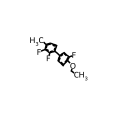 CCOc1ccc(-c2ccc(C)c(F)c2F)cc1F